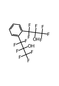 OC(F)(C(F)(F)F)C(F)(F)c1ccccc1C(F)(F)C(O)(F)C(F)(F)F